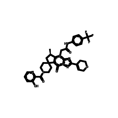 C[C@@H]1CC2(CCN(C(=O)c3ncccc3O)CC2)c2c1n(CC(=O)Nc1ccc(C(F)(F)F)cc1)c1nc(C3=CCOCC3)nn1c2=O